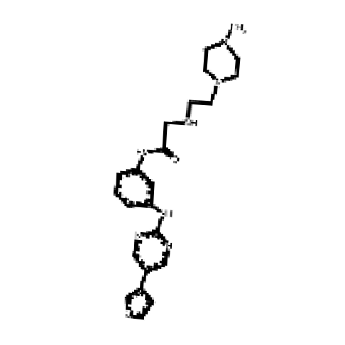 CN1CCN(CCNCC(=O)Nc2cccc(Nc3ncc(-c4ccsc4)cn3)c2)CC1